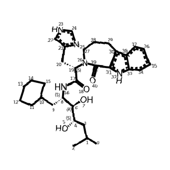 CC(C)C[C@H](O)[C@H](O)[C@H](CC1CCCCC1)NC(=O)[C@H](Cc1c[nH]cn1)N1CCCc2c([nH]c3ccccc23)C1=O